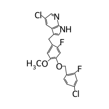 COc1cc(Cc2c[nH]c3ncc(Cl)cc23)c(F)cc1OCc1ccc(Cl)cc1F